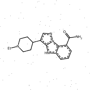 CCN1CCC(c2cnn3c2[nH]c2cccc(C(N)=O)c23)CC1